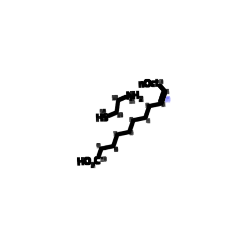 CCCCCCCC/C=C\CCCCCCCC(=O)O.NCCS